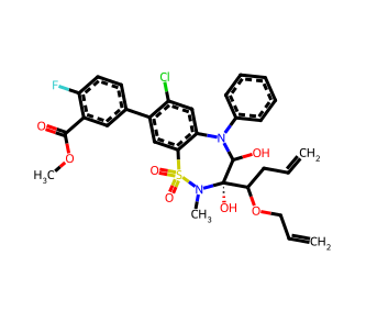 C=CCOC(CC=C)[C@]1(O)C(O)N(c2ccccc2)c2cc(Cl)c(-c3ccc(F)c(C(=O)OC)c3)cc2S(=O)(=O)N1C